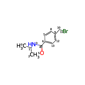 CC(C)NC(=O)c1ccc(CBr)cc1